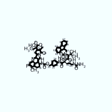 CC[C@@]1(O)C(=O)OCc2c1cc1n(c2=O)Cc2c-1nc1cc(F)c(C)c3c1c2[C@@H](NC(=O)OCc1ccc(NC(=O)[C@H](CCCNC(N)=O)NC(=O)[C@H](C(C)C)N(CC2c4ccccc4-c4ccccc42)C(=O)O)cc1)CC3